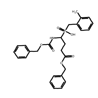 Cc1ccccc1CP(=O)(O)C(CCC(=O)OCc1ccccc1)NC(=O)OCc1ccccc1